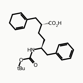 CC(C)(C)OC(=O)N[C@@H](CC[C@H](CC1=CCCC=C1)C(=O)O)Cc1ccccc1